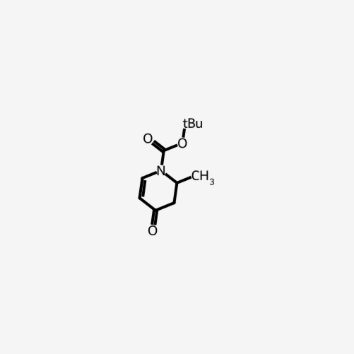 CC1CC(=O)C=CN1C(=O)OC(C)(C)C